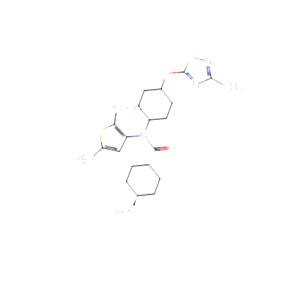 Cc1nsc(OC2CCC(N(c3cc(C(C)(C)C)sc3C(=O)O)C(=O)[C@H]3CC[C@H](C)CC3)CC2)n1